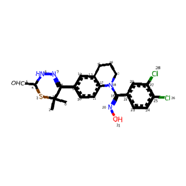 CC1(C)SC(C=O)NN=C1c1ccc2c(c1)CCCN2C(=NO)c1ccc(Cl)c(Cl)c1